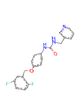 O=C(NCc1cccnc1)Nc1ccc(OCc2cc(F)ccc2F)cc1